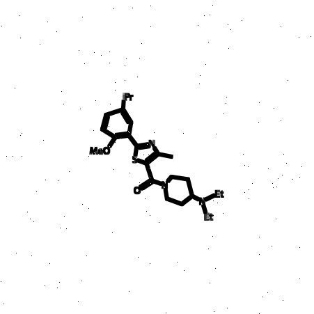 CCN(CC)C1CCN(C(=O)c2sc(-c3cc(C(C)C)ccc3OC)nc2C)CC1